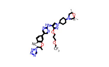 CC(Cn1cnnn1)Oc1cc(-c2cnc(Nc3cn(C4CCC(N5C[C@@H](C)O[C@@H](C)C5)CC4)nc3OCCCOCC(F)(F)F)nc2)ccc1C#N